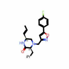 CC=C[C@H]1CN(Cc2cc(-c3ccc(F)cc3)on2)[C@@H](CC(C)C)C(=O)N1